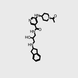 CC(=O)N1CCC(Nc2cncc(C(=O)NCC(O)CNC3Cc4ccccc4C3)c2)CC1